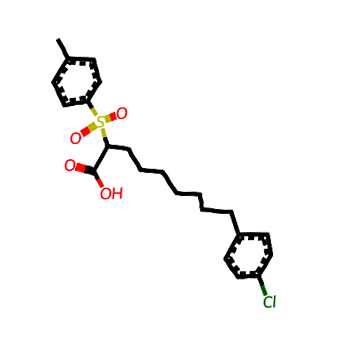 Cc1ccc(S(=O)(=O)C(CCCCCCCc2ccc(Cl)cc2)C(=O)O)cc1